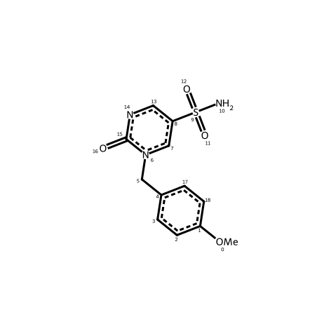 COc1ccc(Cn2cc(S(N)(=O)=O)cnc2=O)cc1